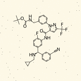 CC(C)(C)OC(=O)NCc1cccc(-n2nc(C(F)(F)F)cc2C(=O)Nc2cc([C@H](NCC3CC3)c3cccc(C#N)c3)ccc2F)c1